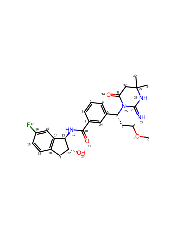 COCC[C@H](c1cccc(C(=O)N[C@@H]2c3cc(F)ccc3C[C@H]2O)c1)N1C(=N)NC(C)(C)CC1=O